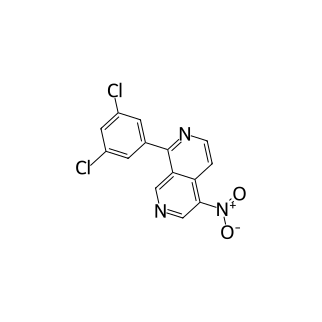 O=[N+]([O-])c1cncc2c(-c3cc(Cl)cc(Cl)c3)nccc12